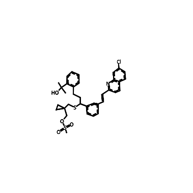 CC(C)(O)c1ccccc1CCC(SCC1(COS(C)(=O)=O)CC1)c1cccc(/C=C/c2ccc3ccc(Cl)cc3n2)c1